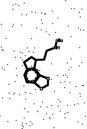 CCCCNCCC1CCc2ccc3c(c21)OCO3